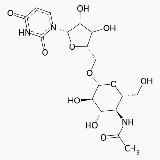 CC(=O)N[C@H]1[C@H](O)[C@@H](O)[C@H](OC[C@@H]2O[C@H](n3ccc(=O)[nH]c3=O)C(O)C2O)O[C@@H]1CO